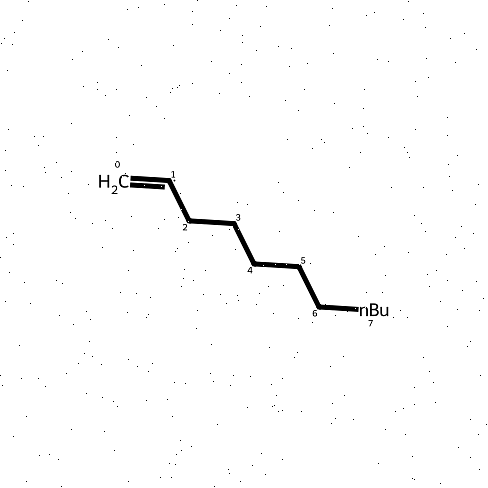 C=[C]CCCCCCCCC